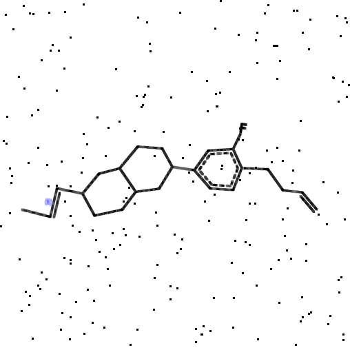 C=CCCc1ccc(C2CCC3CC(/C=C/C)CCC3C2)cc1F